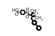 Cc1sc(C)c(C(=O)N[C@H]2CC[C@H](C(=O)O)CC2)c1Cc1ccc(-c2ccccc2)cc1